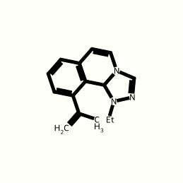 C=C(C)c1cccc2c1C1N(C=C2)C=NN1CC